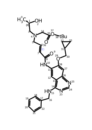 C[C@@H](O)CN(C/C=C/C(=O)Nc1cc2c(NCc3ccccc3)ncnc2cc1OCC1CC1)CC(=O)OC(C)(C)C